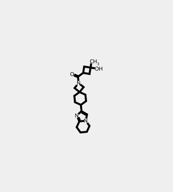 CC1(O)CC(C(=O)N2CC3(CCC(c4cn5c(n4)CCCC5)CC3)C2)C1